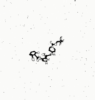 O=C(NC1CCN(C(=O)OCC(F)(F)F)CC1)c1n[nH]cc1NC(=O)c1c(Cl)cccc1Cl